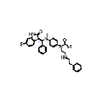 CCC(=O)N(CCNCCc1ccccc1)c1ccc(N/C(=C2\C(=O)Nc3cc(F)ccc32)c2ccccc2)cc1